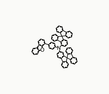 c1ccc2c(c1)-c1ccccc1C21c2ccccc2-c2ccc(N(c3ccc(-c4cccc5c4oc4ccccc45)cc3)c3cccc4c3-c3ccccc3C43c4ccccc4-c4ccccc43)cc21